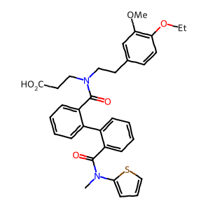 CCOc1ccc(CCN(CCC(=O)O)C(=O)c2ccccc2-c2ccccc2C(=O)N(C)c2cccs2)cc1OC